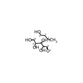 CCCCO.O=CC(O)C(O)C(O)CO